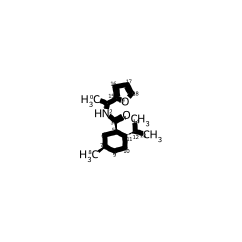 CC(NC(=O)[C@@H]1C[C@H](C)CC[C@H]1C(C)C)c1ccco1